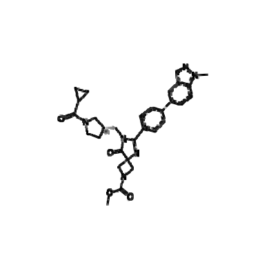 COC(=O)N1CC2(C1)N=C(c1ccc(-c3ccc4c(cnn4C)c3)cc1)N(C[C@@H]1CCN(C(=O)C3CC3)C1)C2=O